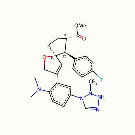 COC(=O)[C@H]1CC[C@@]2(C=C(c3cc(N4C=NNN4C(F)(F)F)ccc3N(C)C)CO2)[C@@H]1c1ccc(F)cc1